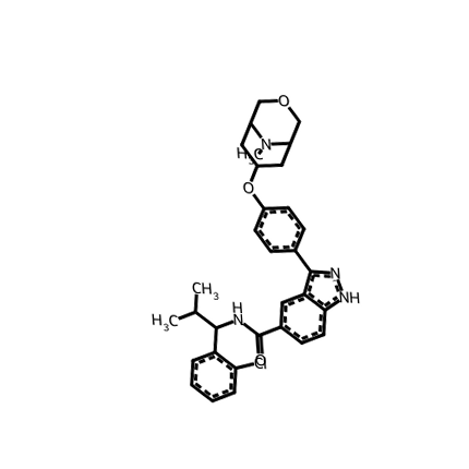 CC(C)C(NC(=O)c1ccc2[nH]nc(-c3ccc(OC4CC5COCC(C4)N5C)cc3)c2c1)c1ccccc1Cl